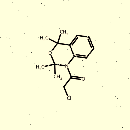 CC1(C)OC(C)(C)N(C(=O)CCl)c2ccccc21